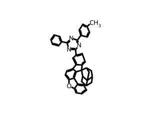 Cc1ccc(-c2nc(-c3ccccc3)nc(-c3ccc4c(c3)-c3ccc5oc6ccccc6c5c3C43C4CC5CC(C4)CC3C5)n2)cc1